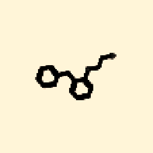 [O]CCOc1ccccc1Cc1ccccc1